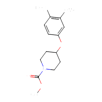 COc1cc(OC2CCN(C(=O)OC(C)(C)C)CC2)ccc1C(=O)O